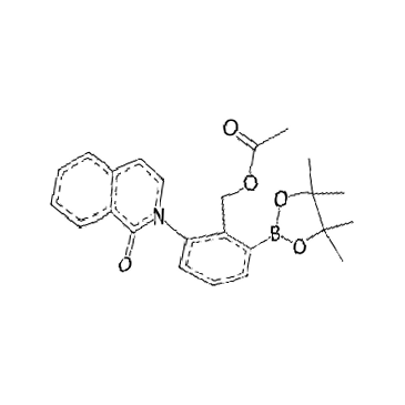 CC(=O)OCc1c(B2OC(C)(C)C(C)(C)O2)cccc1-n1ccc2ccccc2c1=O